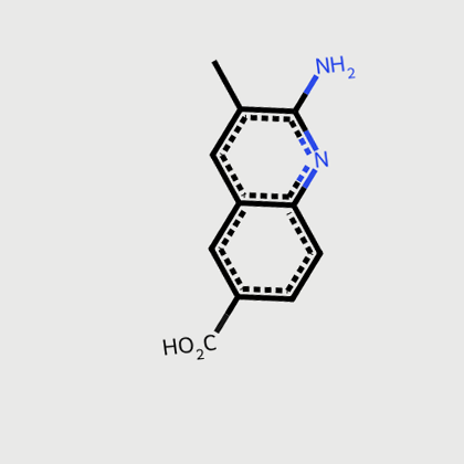 Cc1cc2cc(C(=O)O)ccc2nc1N